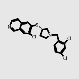 Clc1ccc(CN2CC[C@H](Sc3cc4ccncc4cc3Cl)C2)c(Cl)c1